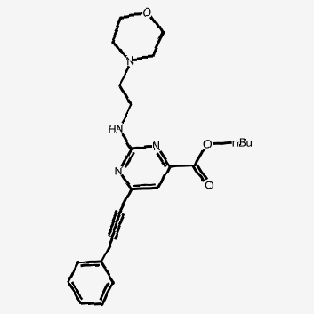 CCCCOC(=O)c1cc(C#Cc2ccccc2)nc(NCCN2CCOCC2)n1